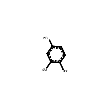 CCCCc1ccc([C](C)C)c(CCCC)c1